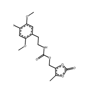 COc1cc(CCNC(=O)OCc2oc(=O)oc2C)c(OC)cc1I